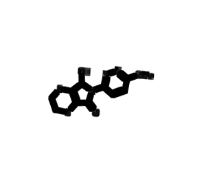 COc1ccc(N2C(=O)C3=C(SCCS3)C2O)nn1